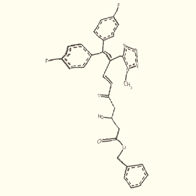 Cn1nnnc1C(C=CC(=O)CC(O)CC(=O)OCc1ccccc1)=C(c1ccc(F)cc1)c1ccc(F)cc1